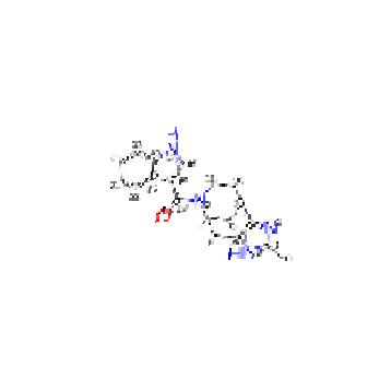 Cc1nc2c([nH]1)CC1CC2CCN1C(=O)c1c[nH]c2ccccc12